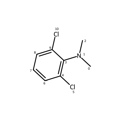 CN(C)c1c(Cl)[c]ccc1Cl